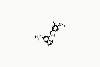 Cc1cc(NCc2ccc(C(F)(F)F)c(Cl)c2)n2ncnc2n1